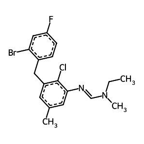 CCN(C)C=Nc1cc(C)cc(Cc2ccc(F)cc2Br)c1Cl